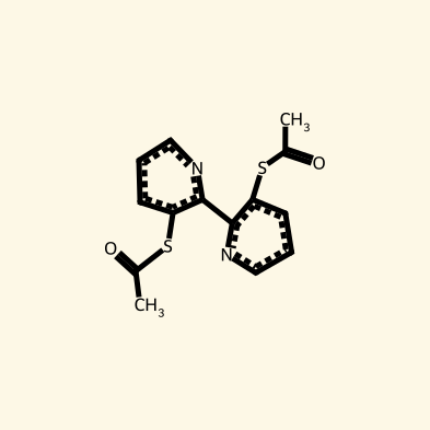 CC(=O)Sc1cccnc1-c1ncccc1SC(C)=O